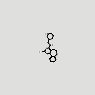 Nc1nc(NCC2CCCNC2)c2c(n1)-c1ccccc1CCC2